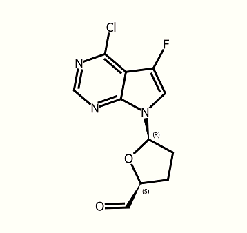 O=C[C@@H]1CC[C@H](n2cc(F)c3c(Cl)ncnc32)O1